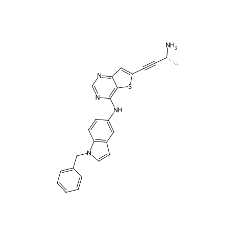 C[C@@H](N)C#Cc1cc2ncnc(Nc3ccc4c(ccn4Cc4ccccc4)c3)c2s1